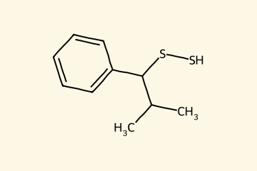 CC(C)C(SS)c1ccccc1